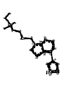 CC[Si](C)(C)CCOCn1ccc2c(-c3cn[nH]c3)ccnc21